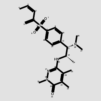 C=C(/C=C\C)S(=O)(=O)c1ccc([C@@H]([C@H](C)Nc2nn(C)c(=O)c(C)c2C)N(C)C)cc1